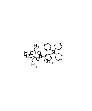 CC/C=C(\C=C(/C)B1OC(C)(C)C(C)(C)O1)[Si](C1=CC=CCC1)(c1ccccc1)c1ccccc1